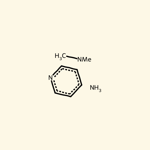 CNC.N.c1ccncc1